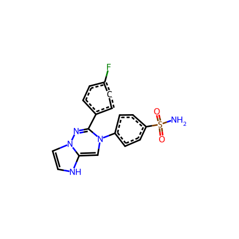 NS(=O)(=O)c1ccc(N2C=C3NC=CN3N=C2c2ccc(F)cc2)cc1